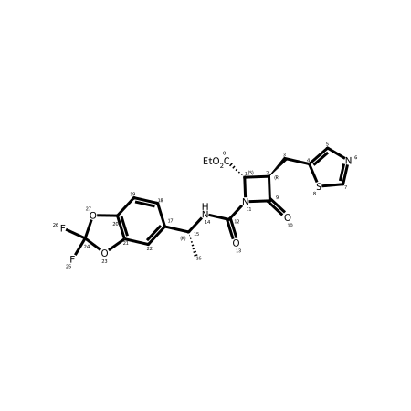 CCOC(=O)[C@@H]1[C@@H](Cc2cncs2)C(=O)N1C(=O)N[C@H](C)c1ccc2c(c1)OC(F)(F)O2